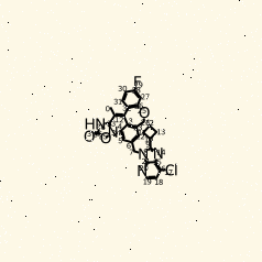 C/C(=C1/c2ccc(Cn3c(C4CCC4)nc4c(Cl)ccnc43)cc2COc2cc(F)ccc21)c1noc(=O)[nH]1